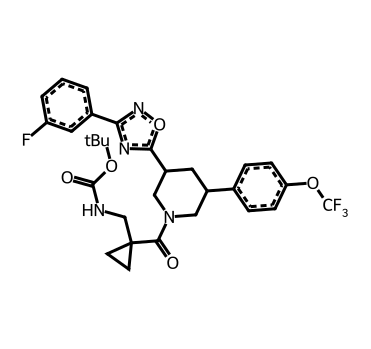 CC(C)(C)OC(=O)NCC1(C(=O)N2CC(c3ccc(OC(F)(F)F)cc3)CC(c3nc(-c4cccc(F)c4)no3)C2)CC1